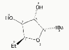 CC[C@@H]1O[C@@H](C(C)(C)C)[C@@H](O)C1O